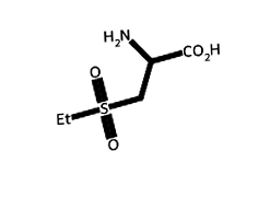 CCS(=O)(=O)CC(N)C(=O)O